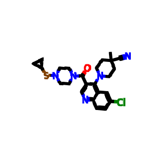 CC1(C#N)CCN(c2c(C(=O)N3CCN(SC4CC4)CC3)cnc3ccc(Cl)cc23)CC1